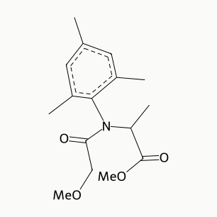 COCC(=O)N(c1c(C)cc(C)cc1C)C(C)C(=O)OC